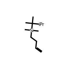 C=CCC[Si](C)(C)C(C)(C)C(C)C